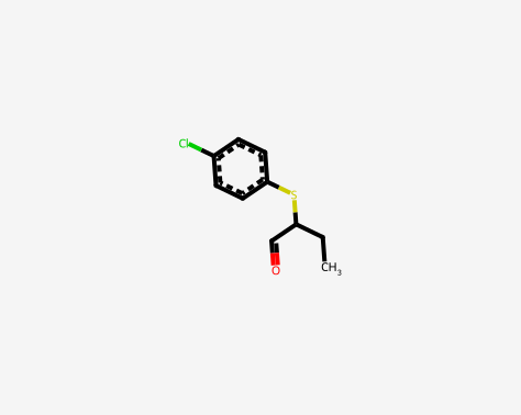 CCC(C=O)Sc1ccc(Cl)cc1